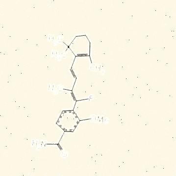 COc1cc(C(N)=O)ccc1/C(F)=C(C)/C=C/C1=C(C)CCCC1(C)C